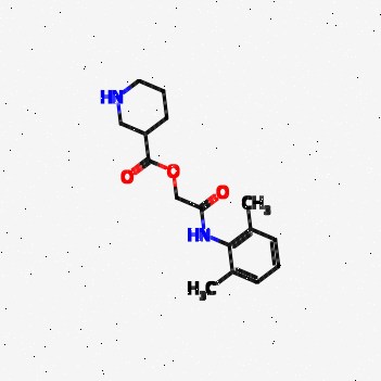 Cc1cccc(C)c1NC(=O)COC(=O)C1CCCNC1